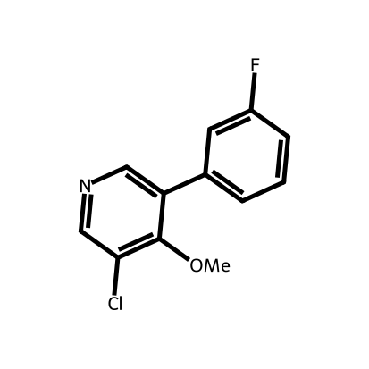 COc1c(Cl)cncc1-c1cccc(F)c1